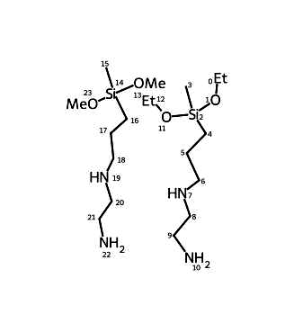 CCO[Si](C)(CCCNCCN)OCC.CO[Si](C)(CCCNCCN)OC